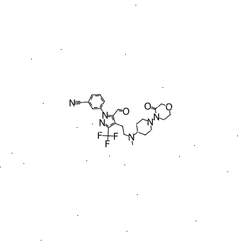 CN(CCc1c(C(F)(F)F)nn(-c2cccc(C#N)c2)c1C=O)C1CCN(N2CCOCC2=O)CC1